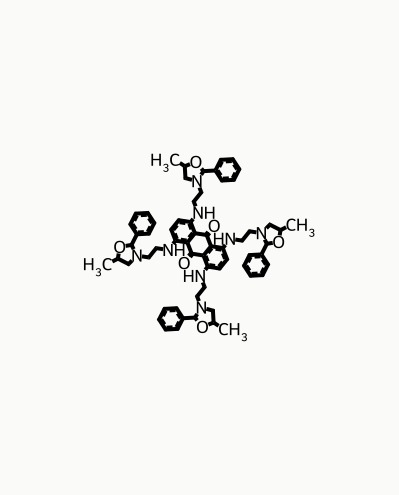 CC1CN(CCNc2ccc(NCCN3CC(C)OC3c3ccccc3)c3c2C(=O)c2c(NCCN4CC(C)OC4c4ccccc4)ccc(NCCN4CC(C)OC4c4ccccc4)c2C3=O)C(c2ccccc2)O1